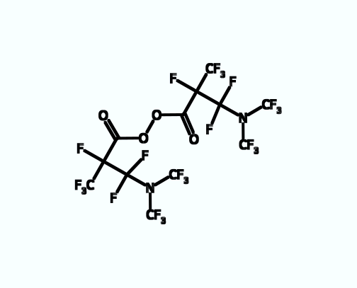 O=C(OOC(=O)C(F)(C(F)(F)F)C(F)(F)N(C(F)(F)F)C(F)(F)F)C(F)(C(F)(F)F)C(F)(F)N(C(F)(F)F)C(F)(F)F